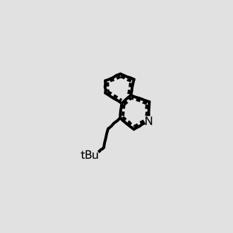 CC(C)(C)CCc1cncc2ccccc12